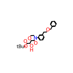 CC(C)(C)OC(=O)[C@H](O)[C@H]1OCCN(c2cccc(CCOCc3ccccc3)c2)C1=O